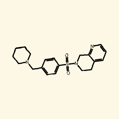 O=S(=O)(c1ccc(CN2CCCCC2)cc1)N1CCc2cccnc2C1